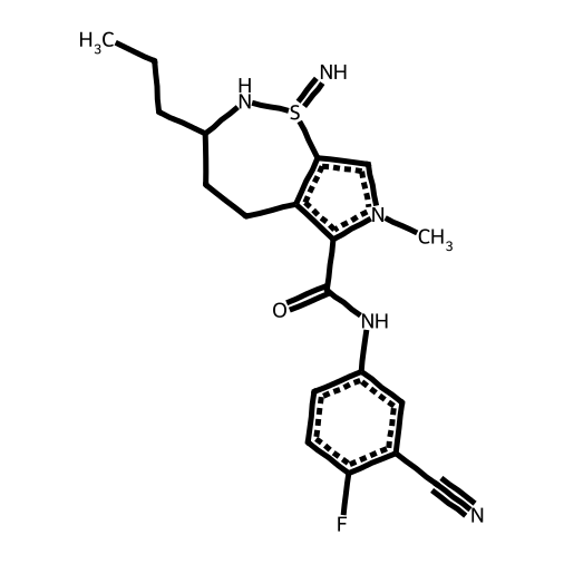 CCCC1CCc2c(cn(C)c2C(=O)Nc2ccc(F)c(C#N)c2)S(=N)N1